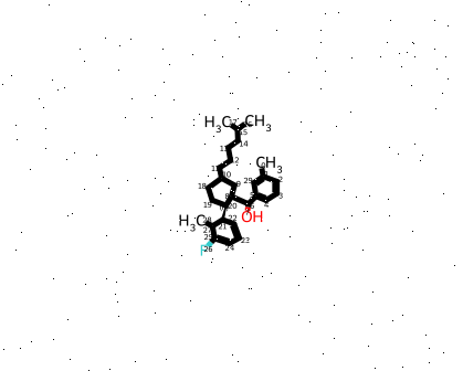 Cc1cccc(C(O)C2CC(CCCCC(C)C)CC[C@@H]2C2C=CC=C(F)C2C)c1